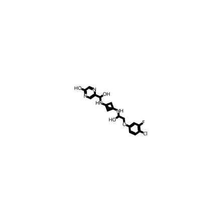 Oc1cnc(C(O)NC23CC(NC(O)COc4ccc(Cl)c(F)c4)(C2)C3)cn1